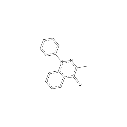 Cc1nn(-c2ccccc2)c2ccccc2c1=O